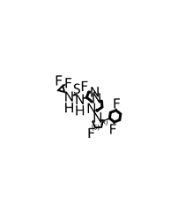 Fc1ccc(F)c([C@H]2C[C@H](F)CN2c2ccn3nc(F)c(NC(=S)NC4CC4(F)F)c3n2)c1